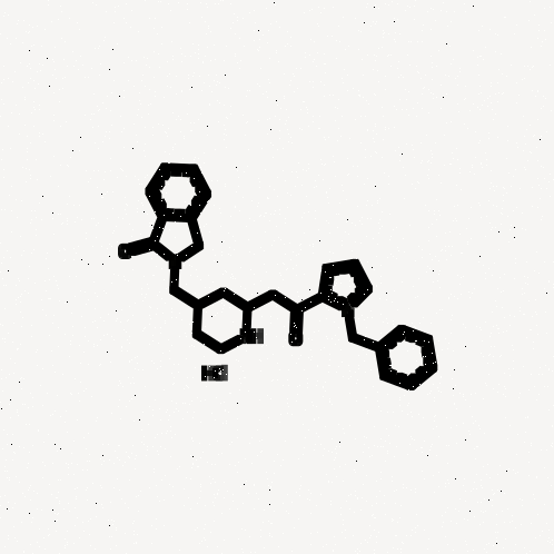 Cl.O=C(CC1CC(CN2Cc3ccccc3C2=O)CCN1)c1cccn1Cc1ccccc1